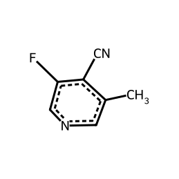 Cc1cncc(F)c1C#N